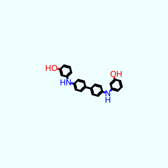 Oc1cccc(Nc2ccc(-c3ccc(Nc4cccc(O)c4)cc3)cc2)c1